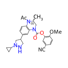 COc1ccc(C#N)cc1OC(=O)N1C[C@H](C)N(C(C)=O)c2ccc(C3CNN(C4CC4)C3)cc21